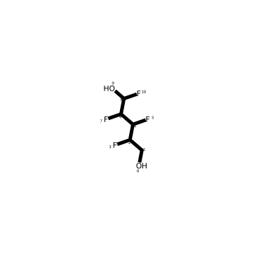 OCC(F)C(F)C(F)C(O)F